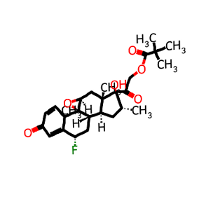 C[C@@H]1C[C@H]2[C@@H]3C[C@H](F)C4=CC(=O)C=C[C@]4(C)[C@@]34O[C@H]4C[C@]2(C)[C@@]1(O)C(=O)COC(=O)C(C)(C)C